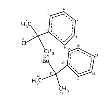 CC(C)(Cl)c1ccccc1.CCC(C)C(C)(C)c1ccccc1